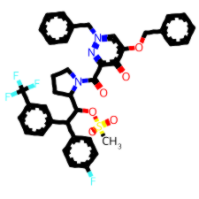 CS(=O)(=O)OC(C(c1ccc(F)cc1)c1cccc(C(F)(F)F)c1)C1CCCN1C(=O)c1nn(Cc2ccccc2)cc(OCc2ccccc2)c1=O